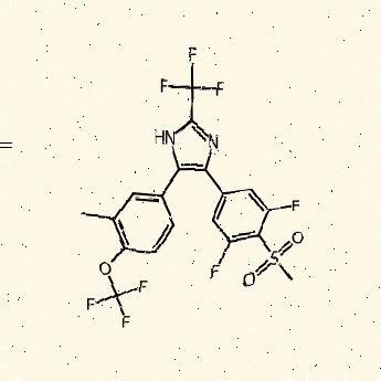 Cc1cc(-c2[nH]c(C(F)(F)F)nc2-c2cc(F)c(S(C)(=O)=O)c(F)c2)ccc1OC(F)(F)F